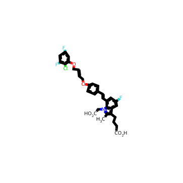 Cc1c(CCCC(=O)O)c2cc(F)cc(C=Cc3ccc(OCC=CCOc4cc(F)cc(F)c4Cl)cc3)c2n1CC(=O)O